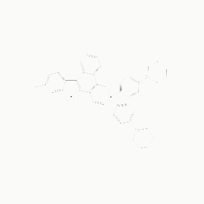 Cc1ccc2c(c1)C(C)(C)c1c3c(c4ccccc4c1-2)OC(c1ccc(N2CCOCC2)cc1)(c1ccc(N2CCOCC2)cc1)C=C3